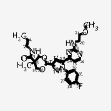 CCCNC(=O)C1(C)COC(c2cc(-c3ccnc(NCCOC)n3)n(-c3ccc(F)cc3)n2)OC1